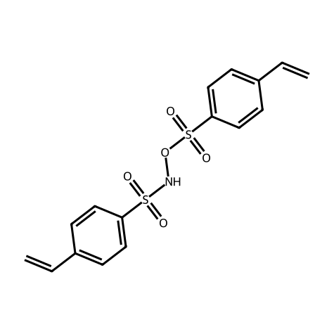 C=Cc1ccc(S(=O)(=O)NOS(=O)(=O)c2ccc(C=C)cc2)cc1